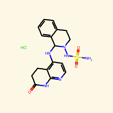 Cl.NS(=O)(=O)NN1CCc2ccccc2C1Nc1ccnc2c1CCC(=O)N2